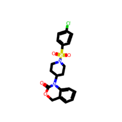 O=C1OCc2ccccc2N1C1CCN(S(=O)(=O)c2ccc(Cl)cc2)CC1